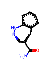 NC(=O)C1=Cc2ccccc2NN=C1